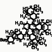 Cc1cc2c3c(c1)N(c1ccc4c(c1)C(C)(C)c1cc(C(C)(C)C)ccc1-4)c1cc4c(cc1B3c1cc3c(cc1N2c1ccc2c(c1)C(C)(C)CCC2(C)C)C(C)(C)CCC3(C)C)C(C)(C)CC4(C)C